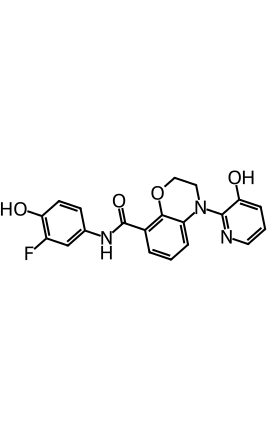 O=C(Nc1ccc(O)c(F)c1)c1cccc2c1OCCN2c1ncccc1O